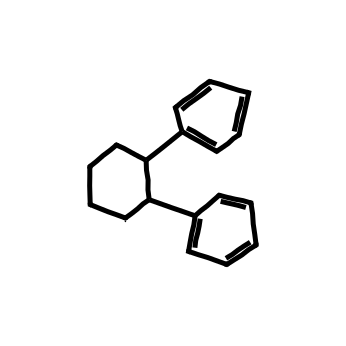 [CH]1CCCC(c2ccccc2)C1c1ccccc1